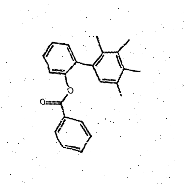 Cc1cc(-c2ccccc2OC(=O)c2ccccc2)c(C)c(C)c1C